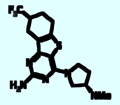 CN[C@@H]1CCN(c2nc(N)nc3c4c(sc23)CCC(C(F)(F)F)C4)C1